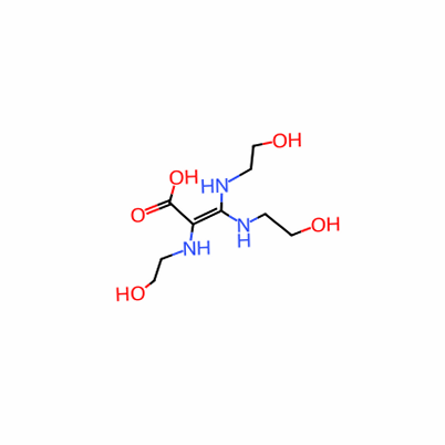 O=C(O)C(NCCO)=C(NCCO)NCCO